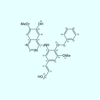 COc1cc2ncnc(Nc3cc(/C=C/C(=O)O)cc(OC)c3OCc3ccccc3)c2cc1O